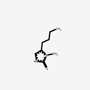 CCCCc1c[nH]c(=S)n1C